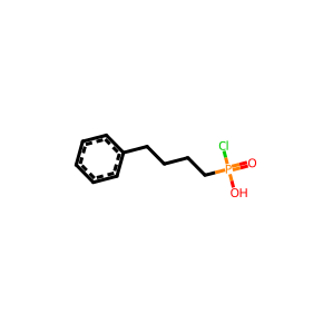 O=P(O)(Cl)CCCCc1ccccc1